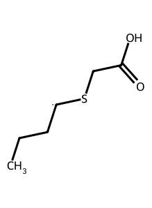 CCC[CH]SCC(=O)O